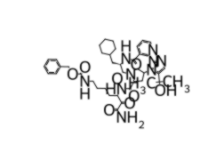 CC(C)(O)c1cnnn1[C@H]1C[C@@H](C(=O)NC(CCCCNC(=O)OCc2ccccc2)C(=O)C(N)=O)N(C(=O)[C@@H](CC2CCCCC2)NC(=O)c2cccnc2)C1